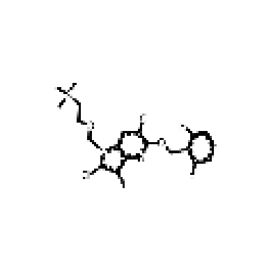 C[Si](C)(C)CCOCn1c(Cl)c(I)c2nc(OCc3c(F)cccc3F)c(Cl)cc21